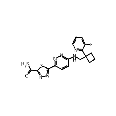 NC(=O)c1nnc(-c2ccc(NCC3(c4ncccc4F)CCC3)nn2)s1